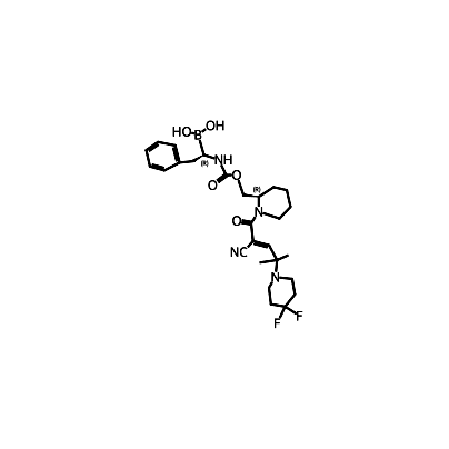 CC(C)(C=C(C#N)C(=O)N1CCCC[C@@H]1COC(=O)N[C@@H](Cc1ccccc1)B(O)O)N1CCC(F)(F)CC1